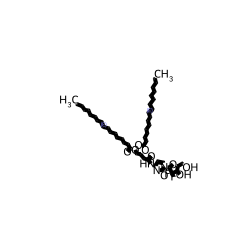 CCCCCCCC/C=C/CCCCCCCC(=O)OCC(CC(=O)Nc1ccn(C2OC(CO)C(O)C2(F)F)c(=O)n1)OC(=O)CCCCCCC/C=C/CCCCCCCC